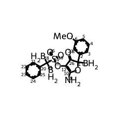 BC1(c2cccc(OC)c2)OC(N)=C(OS(=O)(=O)C(B)(B)c2ccccc2)C1=O